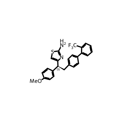 COc1ccc([C@H](Cc2ccc(-c3ccccc3C(F)(F)F)cc2)c2csc(N)n2)cc1